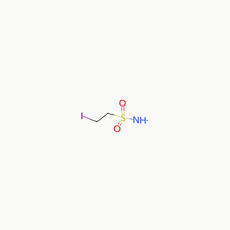 [NH]S(=O)(=O)CCI